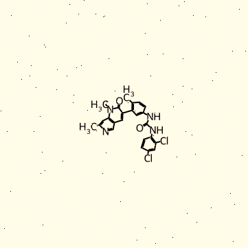 Cc1cc2c(cn1)cc(-c1cc(NC(=O)Nc3ccc(Cl)cc3Cl)ccc1C)c(=O)n2C